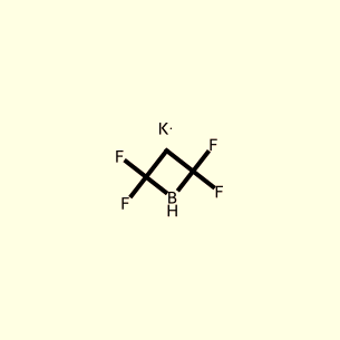 FC1(F)BC(F)(F)C1.[K]